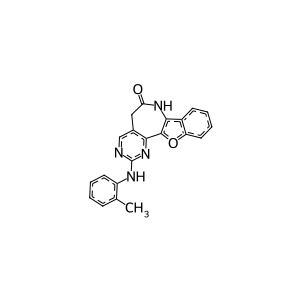 Cc1ccccc1Nc1ncc2c(n1)-c1oc3ccccc3c1NC(=O)C2